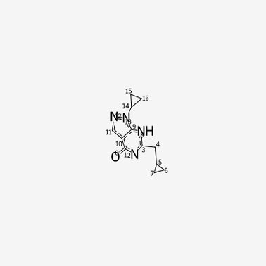 O=c1nc(CC2CC2)[nH]c2c1cnn2C1CC1